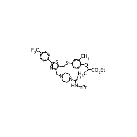 CCCNC(=O)N1CCN(Cc2nc(-c3ccc(C(F)(F)F)cc3)sc2CSc2ccc(OC(C)C(=O)OCC)c(C)c2)CC1